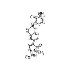 CCNc1ncc(-c2ccc3cc(Oc4ccnc(N)c4Cl)ccc3n2)c(=O)n1C